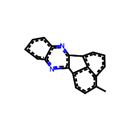 Cc1ccc2c3c(cccc13)-c1nc3ccccc3nc1-2